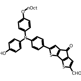 CCCCCCCCOc1ccc(N(c2ccc(O)cc2)c2ccc(-c3cc4c(s3)-c3sc(C=O)cc3C4=O)cc2)cc1